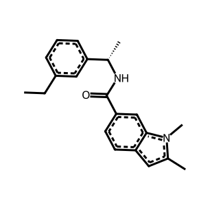 CCc1cccc([C@H](C)NC(=O)c2ccc3cc(C)n(C)c3c2)c1